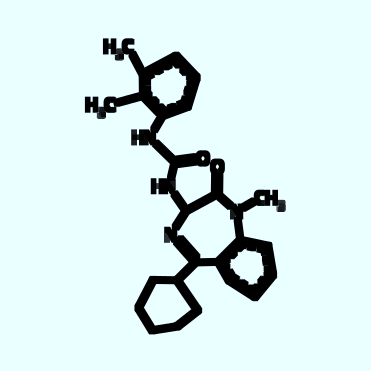 Cc1cccc(NC(=O)NC2N=C(C3CCCCC3)c3ccccc3N(C)C2=O)c1C